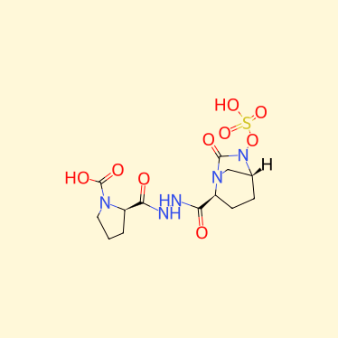 O=C(NNC(=O)[C@@H]1CC[C@@H]2CN1C(=O)N2OS(=O)(=O)O)[C@H]1CCCN1C(=O)O